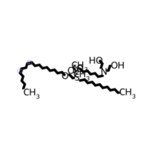 CCCCC/C=C\C/C=C\CCCCCCCCOC(CSCCCCCCCCCCCC)O[Si](C)(C)OCCCCCCN(CCO)CCO